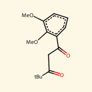 COc1cccc(C(=O)CC(=O)C(C)(C)C)c1OC